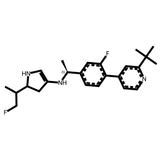 CC(CF)C1CC(N[C@@H](C)c2ccc(-c3ccnc(C(C)(C)C)c3)c(F)c2)=CN1